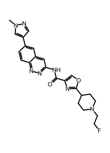 Cn1cc(-c2ccc3nnc(NC(=O)c4coc(C5CCN(CCF)CC5)n4)cc3c2)cn1